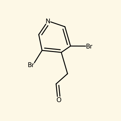 O=CCc1c(Br)cncc1Br